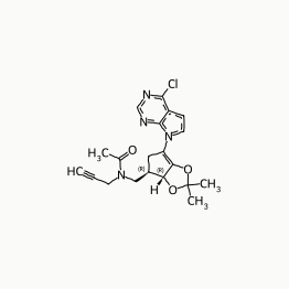 C#CCN(C[C@H]1CC(n2ccc3c(Cl)ncnc32)=C2OC(C)(C)O[C@@H]21)C(C)=O